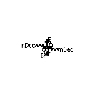 CCCCCCCCCCCCCCCCN1C(=O)C2=C(c3ccc(Br)o3)N(CCCCCCCCCCCCCCCC)C(=O)C2=C1c1ccc(Br)o1